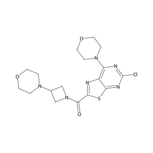 O=C(c1nc2c(N3CCOCC3)nc(Cl)nc2s1)N1CC(N2CCOCC2)C1